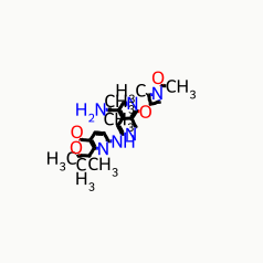 CC(=O)N1C[C@@H](Oc2ncc(C(C)(C)N)c3cc(Nc4ccc5c(n4)[C@@H](C)C(C)(C)OC5=O)ncc23)[C@@H]1C